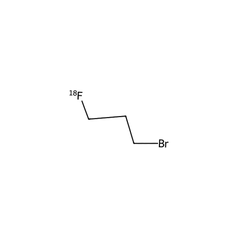 [18F]CCCBr